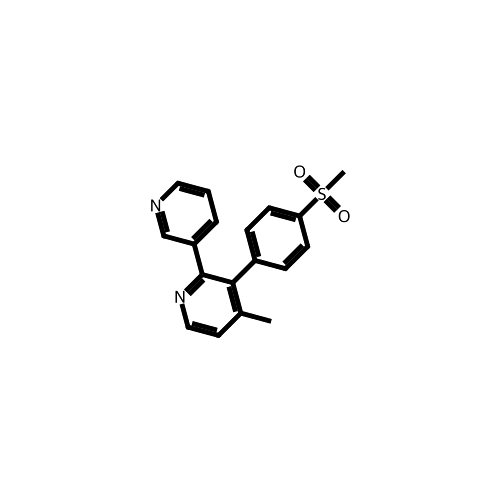 Cc1ccnc(-c2cccnc2)c1-c1ccc(S(C)(=O)=O)cc1